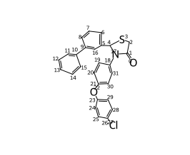 O=C1CSC(c2cccc(-c3ccccc3)c2)N1c1ccc(Oc2ccc(Cl)cc2)cc1